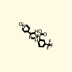 O=C(O)N(c1cccc(C(F)(F)F)c1)[SH]1C=NC(c2cc[n+]([O-])cc2)=C1